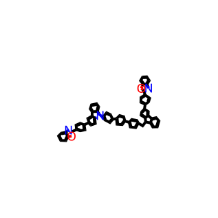 c1ccc2c(c1)-c1cc(-c3ccc(-c4nc5ccccc5o4)cc3)ccc1C2Cc1ccc(-c2ccc(-c3ccc(-n4c5ccccc5c5cc(-c6ccc(-c7nc8ccccc8o7)cc6)ccc54)cc3)cc2)cc1